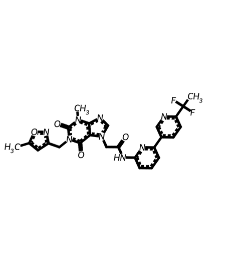 Cc1cc(Cn2c(=O)c3c(ncn3CC(=O)Nc3cccc(-c4ccc(C(C)(F)F)nc4)n3)n(C)c2=O)no1